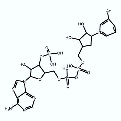 CC(=O)c1ccc[n+](C2CC(COP(=O)(O)OP(=O)(O)OCC3OC(n4cnc5c(N)ncnc54)C(O)C3OP(=O)(O)O)C(O)C2O)c1